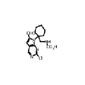 O=Cc1cc2cnc(Cl)nc2n1C1(CNC(=O)O)CCCCC1